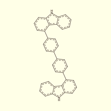 c1ccc2c(c1)[nH]c1cccc(-c3ccc(-c4ccc(-c5cccc6[nH]c7ccccc7c56)cc4)cc3)c12